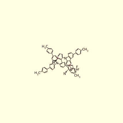 Cc1ccc(-c2ccc3c(c2)c2cc(-c4ccc(C)cc4)ccc2n3-c2ccc(-c3ccc(C(F)(F)F)cc3C#N)cc2-c2c(C#N)cccc2-n2c3ccc(-c4ccc(C)cc4)cc3c3cc(-c4ccc(C)cc4)ccc32)cc1